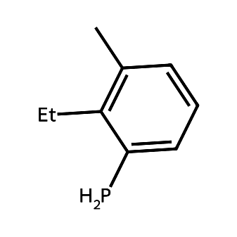 CCc1c(C)cccc1P